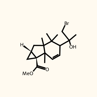 COC(=O)[C@@]12C[C@@H]1CC1(C)C(C)(C)C(C(C)(O)CBr)C=CC12C